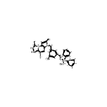 CC1=NNC2C(Br)=Cc3c(cc(C)n3Cc3cc(Cl)cc(CO[Si](c4ccccc4)(c4ccccc4)C(C)(C)C)c3)N12